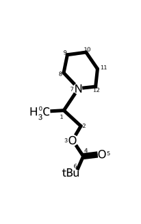 CC(COC(=O)C(C)(C)C)N1CCCCC1